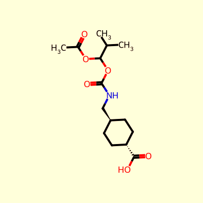 CC(=O)OC(OC(=O)NC[C@H]1CC[C@H](C(=O)O)CC1)C(C)C